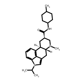 CC1CCC(NC(=O)[C@@H]2C[C@@H]3c4cccc5c4c(cn5C(C)C)C[C@H]3N(C)C2)CC1